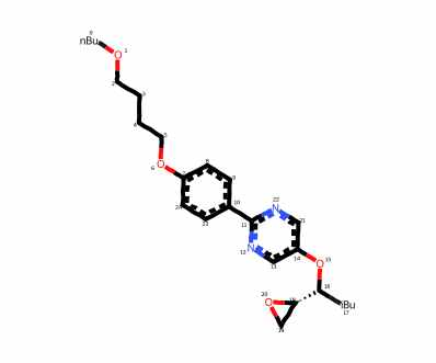 CCCCOCCCCOc1ccc(-c2ncc(OC(C(C)CC)[C@@H]3CO3)cn2)cc1